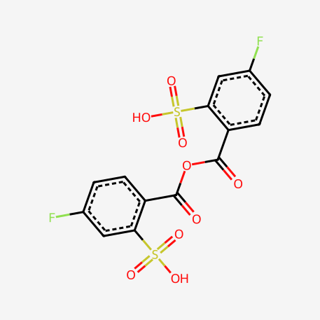 O=C(OC(=O)c1ccc(F)cc1S(=O)(=O)O)c1ccc(F)cc1S(=O)(=O)O